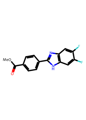 COC(=O)c1ccc(-c2nc3cc(F)c(F)cc3[nH]2)cc1